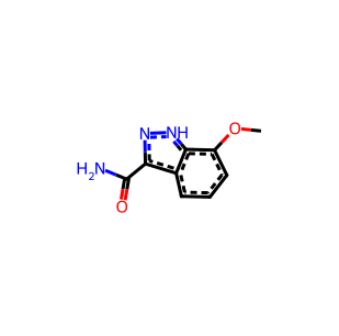 COc1cccc2c(C(N)=O)n[nH]c12